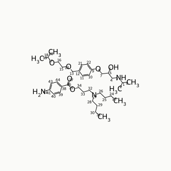 CC(C)NCC(O)COc1ccc(COCCOC(C)C)cc1.CCCCN(CCCC)CCCOC(=O)c1ccc(N)cc1